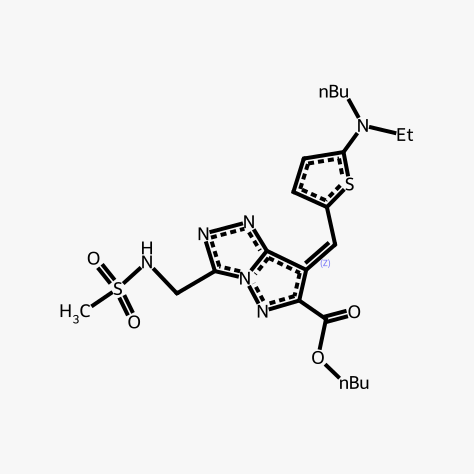 CCCCOC(=O)c1nn2c(CNS(C)(=O)=O)nnc2/c1=C\c1ccc(N(CC)CCCC)s1